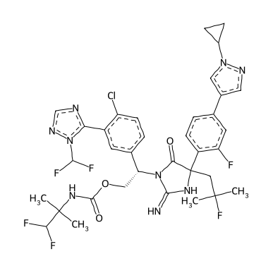 CC(C)(F)CC1(c2ccc(-c3cnn(C4CC4)c3)cc2F)NC(=N)N([C@H](COC(=O)NC(C)(C)C(F)F)c2ccc(Cl)c(-c3ncnn3C(F)F)c2)C1=O